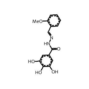 COc1ccccc1C=NNC(=O)c1cc(O)c(O)c(O)c1